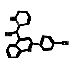 N#Cc1ccc(-c2cc([C@@H](O)[C@H]3C=CCCN3)c3ccccc3n2)cc1